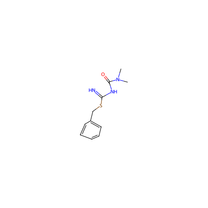 CN(C)C(=O)NC(=N)SCc1ccccc1